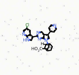 O=C(O)C1C2CCC(CC2)[C@H]1n1cc(-c2ccncc2)c2cnc(-c3c[nH]c4ncc(Cl)cc34)nc21